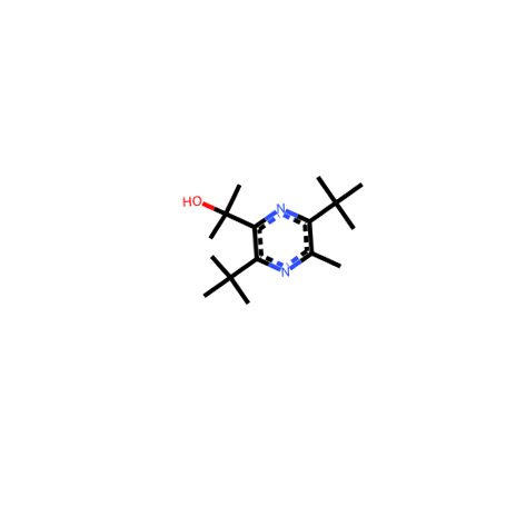 Cc1nc(C(C)(C)C)c(C(C)(C)O)nc1C(C)(C)C